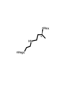 CCCCCCCCCNCC[C@H](C)CCCCCC